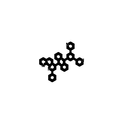 c1ccc(-c2cc(-c3c4ccccc4c(-c4cc(-c5cccnc5)cc(-c5cccnc5)c4)c4ccccc34)c3ccc4cccnc4c3n2)cc1